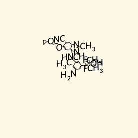 Cc1nc(NC(C)(C)c2cc(N)cc(C(F)(F)C(C)(C)O)c2)c2cc(OCCOC3CC3)c(C#N)cc2n1